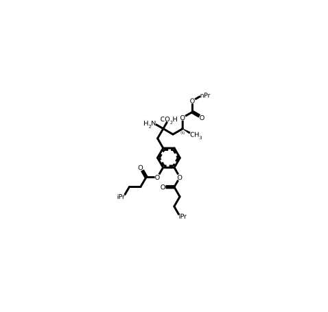 CCCOC(=O)O[C@@H](C)CC(N)(Cc1ccc(OC(=O)CCC(C)C)c(OC(=O)CCC(C)C)c1)C(=O)O